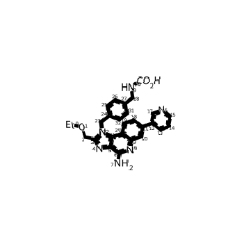 CCOCc1nc2c(N)nc3cc(-c4cccnc4)ccc3c2n1Cc1ccc(CNC(=O)O)cc1